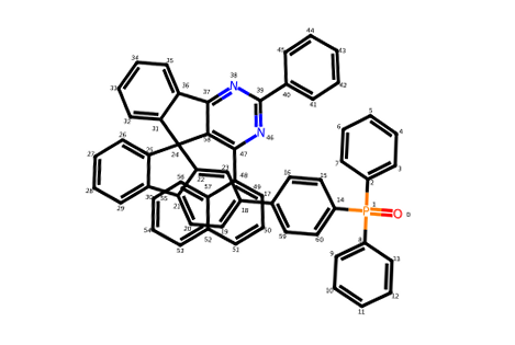 O=P(c1ccccc1)(c1ccccc1)c1ccc(-c2ccc3c(c2)C2(c4ccccc4-3)c3ccccc3-c3nc(-c4ccccc4)nc(-c4cccc5ccccc45)c32)cc1